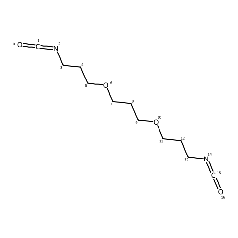 O=C=NCCCOCCCOCCCN=C=O